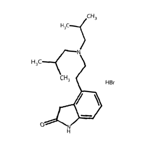 Br.CC(C)CN(CCc1cccc2c1CC(=O)N2)CC(C)C